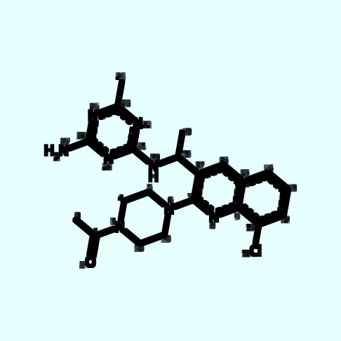 CC(=O)N1CCN(c2nc3c(Cl)cccc3cc2C(C)Nc2nc(C)nc(N)n2)CC1